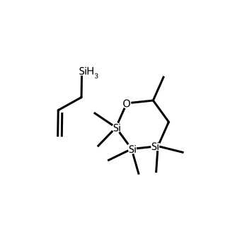 C=CC[SiH3].CC1C[Si](C)(C)[Si](C)(C)[Si](C)(C)O1